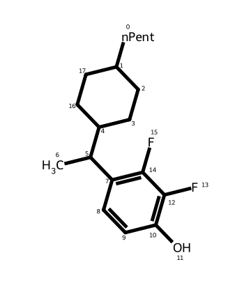 CCCCCC1CCC(C(C)c2ccc(O)c(F)c2F)CC1